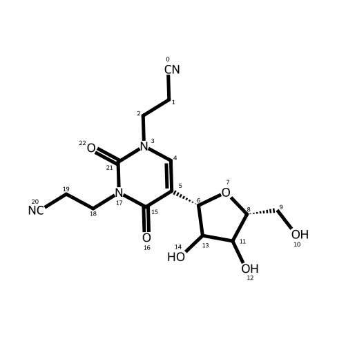 N#CCCn1cc([C@@H]2O[C@H](CO)C(O)C2O)c(=O)n(CCC#N)c1=O